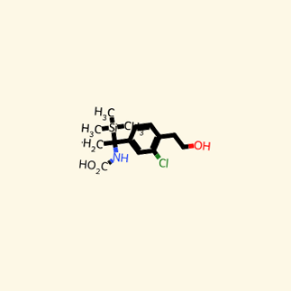 [CH2]C(NC(=O)O)(c1ccc(CCO)c(Cl)c1)[Si](C)(C)C